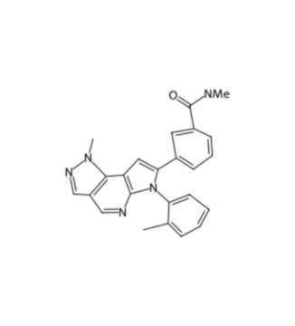 CNC(=O)c1cccc(-c2cc3c4c(cnc3n2-c2ccccc2C)cnn4C)c1